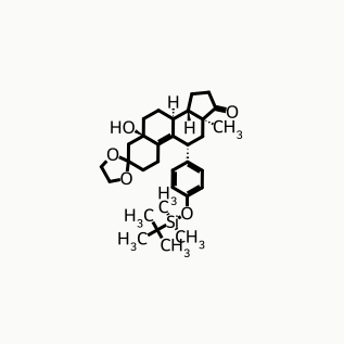 CC(C)(C)[Si](C)(C)Oc1ccc([C@H]2C[C@]3(C)C(=O)CC[C@H]3[C@@H]3CC[C@@]4(O)CC5(CCC4=C32)OCCO5)cc1